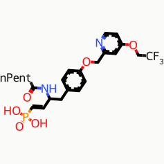 CCCCCC(=O)NC(C=CP(=O)(O)O)Cc1ccc(OCc2cc(OCC(F)(F)F)ccn2)cc1